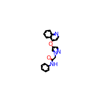 O=C(Cn1cc(Oc2ccnc3ccccc23)cn1)Nc1ccccc1